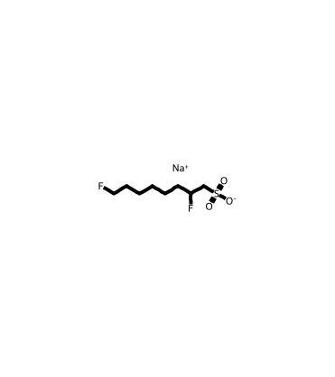 O=S(=O)([O-])CC(F)CCCCCCF.[Na+]